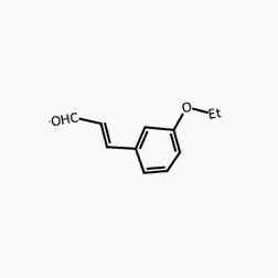 CCOc1cccc(C=C[C]=O)c1